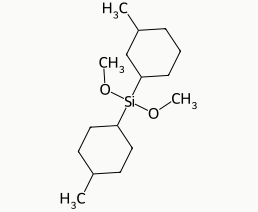 CO[Si](OC)(C1CCC(C)CC1)C1CCCC(C)C1